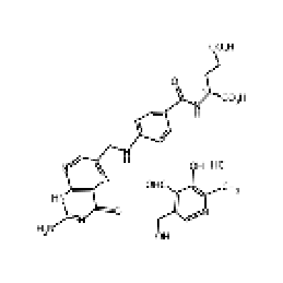 Cc1ncc(CO)c(C=O)c1O.Cl.Nc1nc(=O)c2nc(CNc3ccc(C(=O)N[C@@H](CCC(=O)O)C(=O)O)cc3)cnc2[nH]1